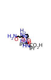 CC(C)[C@@H](NC(=O)[C@H](NC(=O)[C@H]1CCCN1C(=O)[C@H](N)CCC(N)=O)C(C)C)C(=O)O